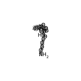 CC[C@@]1(OC(=O)CNC(=O)COCCOCCOCCOCCN)C(=O)OCc2c1cc1n(c2=O)Cc2cc3ccccc3nc2-1